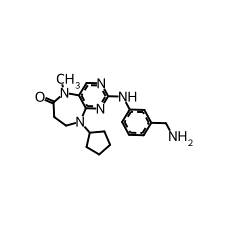 CN1C(=O)CCN(C2CCCC2)c2nc(Nc3cccc(CN)c3)ncc21